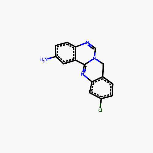 Nc1ccc2c(c1)C1=Nc3cc(Cl)ccc3CN1C=N2